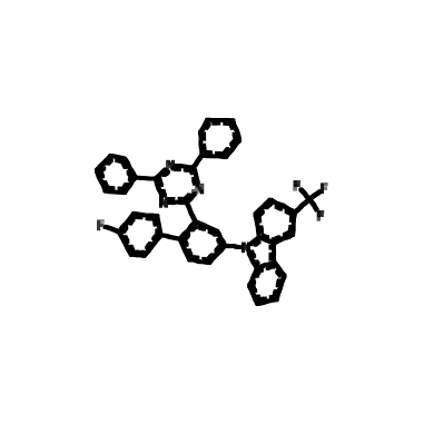 Fc1ccc(-c2ccc(-n3c4ccccc4c4cc(C(F)(F)F)ccc43)cc2-c2nc(-c3ccccc3)nc(-c3ccccc3)n2)cc1